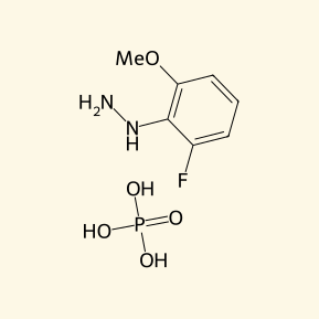 COc1cccc(F)c1NN.O=P(O)(O)O